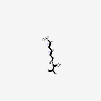 C=C(C)C(=O)OC/C=C/C=C/CCC